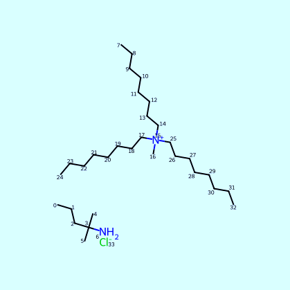 CCCC(C)(C)N.CCCCCCCC[N+](C)(CCCCCCCC)CCCCCCCC.[Cl-]